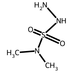 CN(C)S(=O)(=O)NN